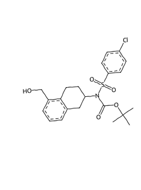 CC(C)(C)OC(=O)N(C1CCc2c(CO)cccc2C1)S(=O)(=O)c1ccc(Cl)cc1